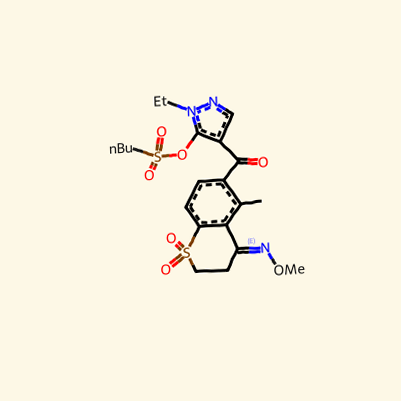 CCCCS(=O)(=O)Oc1c(C(=O)c2ccc3c(c2C)/C(=N/OC)CCS3(=O)=O)cnn1CC